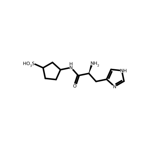 N[C@@H](Cc1c[nH]cn1)C(=O)NC1CCC(S(=O)(=O)O)C1